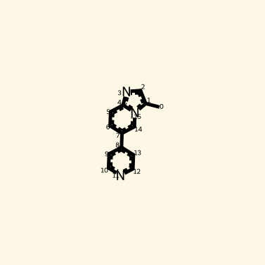 Cc1cnc2ccc(-c3ccncc3)cn12